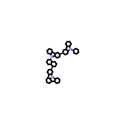 c1ccc(-n2c3ccccc3c3cc(-c4ccc5c(c4)c4ccccc4n5-c4cccc5c(-c6ccc7c8cccc9c%10ccccc%10n(c7c6)c98)cccc45)ccc32)cc1